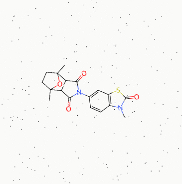 Cn1c(=O)sc2cc(N3C(=O)C4C(C3=O)C3(C)CCC4(C)O3)ccc21